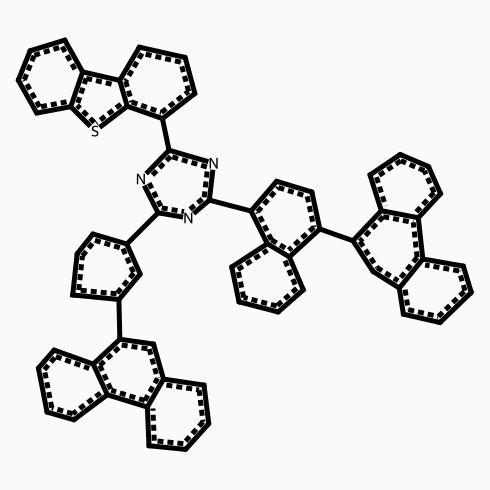 c1cc(-c2nc(-c3ccc(-c4cc5ccccc5c5ccccc45)c4ccccc34)nc(-c3cccc4c3sc3ccccc34)n2)cc(-c2cc3ccccc3c3ccccc23)c1